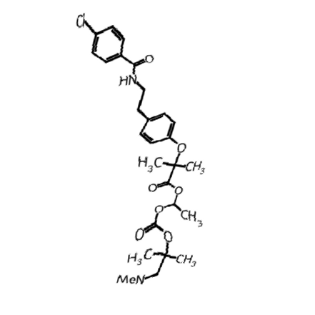 CNCC(C)(C)OC(=O)OC(C)OC(=O)C(C)(C)Oc1ccc(CCNC(=O)c2ccc(Cl)cc2)cc1